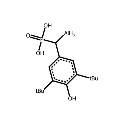 CC(C)(C)c1cc([CH]([AlH2])P(=O)(O)O)cc(C(C)(C)C)c1O